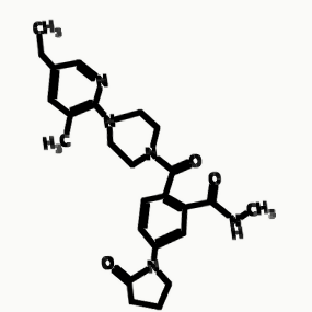 CCc1cnc(N2CCN(C(=O)c3ccc(N4CCCC4=O)cc3C(=O)NC)CC2)c(C)c1